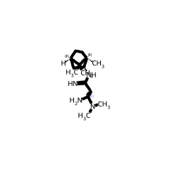 CN(C)/C(N)=C/C(=N)N[C@@H]1C[C@H]2CC[C@]1(C)C2(C)C